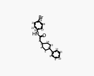 O=C(CC1CCC(c2ccccc2)CC1)Nc1ccc(Br)cc1